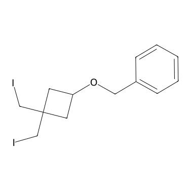 ICC1(CI)CC(OCc2ccccc2)C1